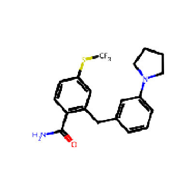 NC(=O)c1ccc(SC(F)(F)F)cc1Cc1cccc(N2CCCC2)c1